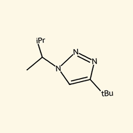 CC(C)C(C)n1cc(C(C)(C)C)nn1